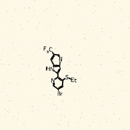 CCSc1cc(Br)cnc1-c1cc2ncc(C(F)(F)F)cc2[nH]1